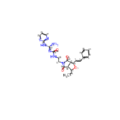 C=CC1OC(/C=C/c2ccccc2)C2C(=O)N(CCNC(=O)/N=C(\N)Nc3ncccn3)C(=O)C12